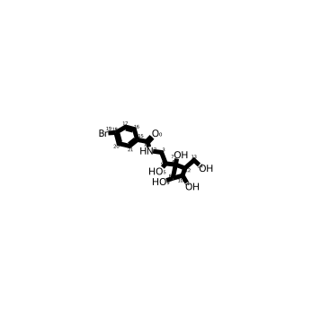 O=C(NCC(O)C1(O)C(O)C(O)C1CO)c1ccc(Br)cc1